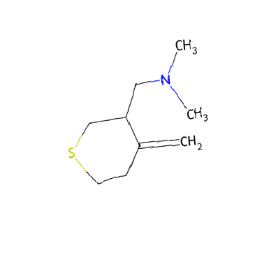 C=C1CCSCC1CN(C)C